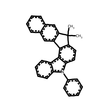 CC1(C)c2cc3ccccc3cc2-c2c1ccc1c2c2ccccc2n1-c1ccccc1